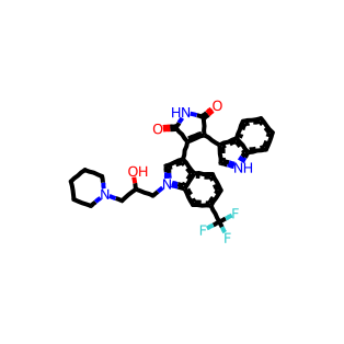 O=C1NC(=O)C(c2cn(CC(O)CN3CCCCC3)c3cc(C(F)(F)F)ccc23)=C1c1c[nH]c2ccccc12